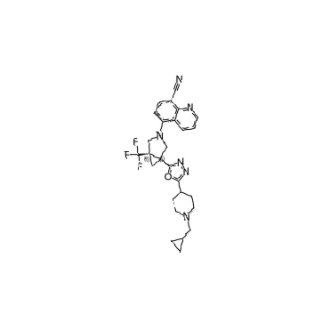 N#Cc1ccc(N2C[C@]3(c4nnc(C5CCN(CC6CC6)CC5)o4)C[C@]3(C(F)(F)F)C2)c2cccnc12